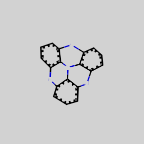 c1cc2c3c(c1)Nc1cccc4c1N3c1c(cccc1N4)N2